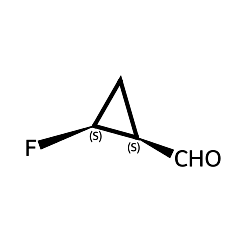 O=C[C@@H]1C[C@@H]1F